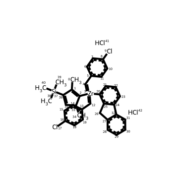 CC1=[C]([Zr](=[CH]c2ccc(Cl)cc2)(=[CH]c2ccc(Cl)cc2)[c]2cccc3c2Cc2ccccc2-3)C(C)C=C1[Si](C)(C)C.Cl.Cl